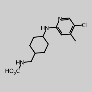 O=C(O)NCC1CCC(Nc2cc(I)c(Cl)cn2)CC1